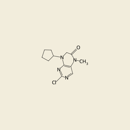 CN1C(=O)CN(C2CCCC2)c2nc(Cl)ncc21